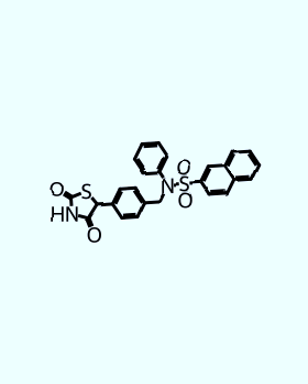 O=C1NC(=O)C(c2ccc(CN(c3ccccc3)S(=O)(=O)c3ccc4ccccc4c3)cc2)S1